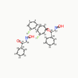 Fc1ccccc1.Fc1ccccc1.O=C(C=NO)c1ccccc1.O=C(C=NO)c1ccccc1